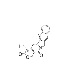 O=C1OCc2c(cc3n(c2=O)Cc2cc4ccccc4nc2-3)[C@H]1CI